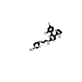 N#CN1C=CC(NCCNc2ncc(-c3ncc[nH]3)c(-c3ccc(F)cc3Cl)n2)=NC1